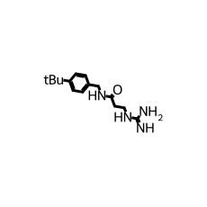 CC(C)(C)c1ccc(CNC(=O)CCNC(=N)N)cc1